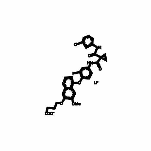 COc1cc2c(Oc3ccc(NC(=O)C4(C(=O)Nc5cccc(Cl)c5)CC4)cc3F)ccnc2cc1OCCCC(=O)[O-].[Li+]